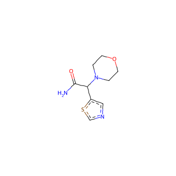 NC(=O)C(c1cncs1)N1CCOCC1